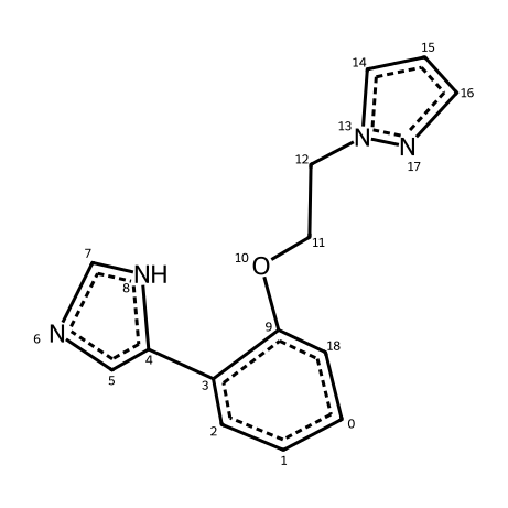 c1ccc(-c2cnc[nH]2)c(OCCn2cccn2)c1